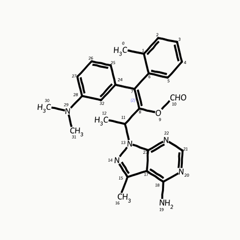 Cc1ccccc1/C(=C(\OC=O)C(C)n1nc(C)c2c(N)ncnc21)c1cccc(N(C)C)c1